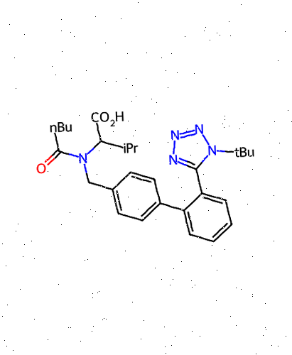 CCCCC(=O)N(Cc1ccc(-c2ccccc2-c2nnnn2C(C)(C)C)cc1)C(C(=O)O)C(C)C